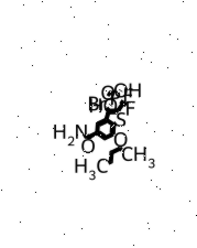 CCCC(C)Oc1cc(C(N)=O)cc2c(Br)c(C(F)(F)P(=O)(O)O)sc12